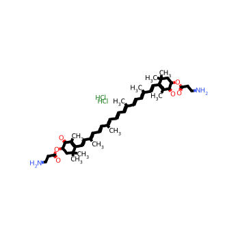 CC1=C(/C=C/C(C)=C/C=C/C(C)=C/C=C/C=C(C)/C=C/C=C(C)/C=C/C2=C(C)C(=O)C(OC(=O)CCN)CC2(C)C)C(C)(C)CC(OC(=O)CCN)C1=O.Cl.Cl